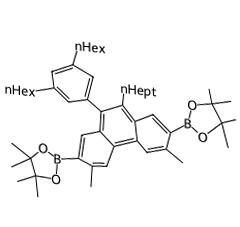 CCCCCCCc1c(-c2cc(CCCCCC)cc(CCCCCC)c2)c2cc(B3OC(C)(C)C(C)(C)O3)c(C)cc2c2cc(C)c(B3OC(C)(C)C(C)(C)O3)cc12